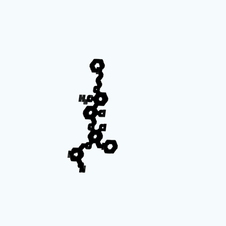 Cc1c(OCCCN2CCCCC2)cccc1-c1cccc(COc2cc(OCc3cncc(C#N)c3)c(CN3CCCCC3)cc2Cl)c1Cl